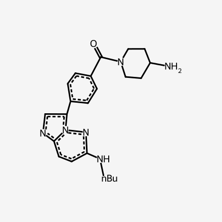 CCCCNc1ccc2ncc(-c3ccc(C(=O)N4CCC(N)CC4)cc3)n2n1